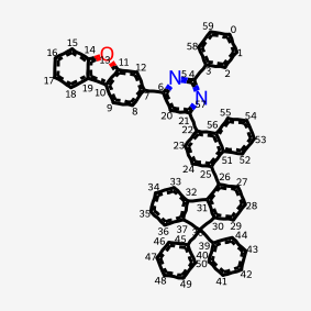 c1ccc(-c2nc(-c3ccc4c(c3)oc3ccccc34)cc(-c3ccc(-c4cccc5c4-c4ccccc4C5(c4ccccc4)c4ccccc4)c4ccccc34)n2)cc1